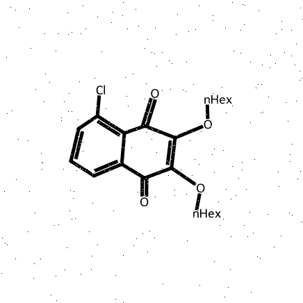 CCCCCCOC1=C(OCCCCCC)C(=O)c2c(Cl)cccc2C1=O